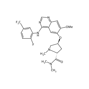 COc1cc2ncnc(Nc3cc(C(F)(F)F)ccc3F)c2cc1O[C@H]1C[C@H](C(=O)N(C)C)N(C)C1